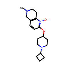 CC(=O)N1CCc2c(ccc(OC3CCN(C4CCC4)CC3)[n+]2[O-])C1